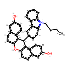 CCCCn1c2ccccc2c2cc(C3c4c(ccc5cc(O)ccc45)Oc4ccc5cc(O)ccc5c43)ccc21